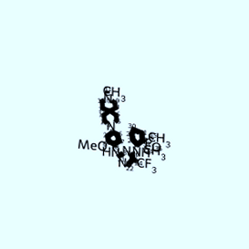 COc1cc(N2CCC3(CCN(C)CC3)CC2)ccc1Nc1ncc(C(F)(F)F)c(Nc2ccccc2P(C)(C)=O)n1